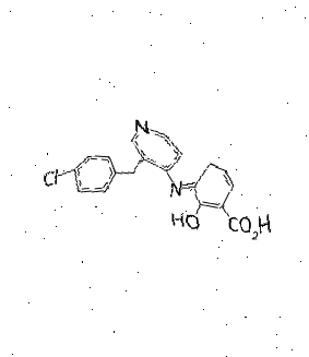 O=C(O)C1=C(O)C(=Nc2ccncc2Cc2ccc(Cl)cc2)CC=C1